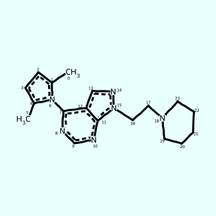 Cc1ccc(C)n1-c1ncnc2c1cnn2CCN1CCCCC1